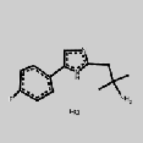 CC(C)(N)Cc1ncc(-c2ccc(F)cc2)[nH]1.Cl